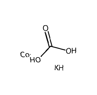 O=C(O)O.[Co].[KH]